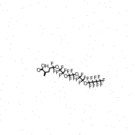 C=C(CCC(F)(F)OC(F)(F)C(F)(F)OC(F)(F)C(F)(F)OC(F)(F)C(F)(F)OC(F)(F)C(F)(F)C(F)(F)C(F)(F)F)C(=O)O